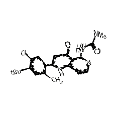 CNC(=O)Nc1nccc2[nH]c(-c3cc(Cl)c(C(C)(C)C)cc3C)cc(=O)c12